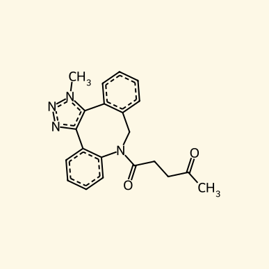 CC(=O)CCC(=O)N1Cc2ccccc2-c2c(nnn2C)-c2ccccc21